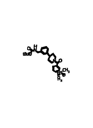 CC(C)(C)OC(=O)NCc1cccc(C2CCN(C(=O)c3cccc([SH](C)(C)=O)c3)CC2)c1